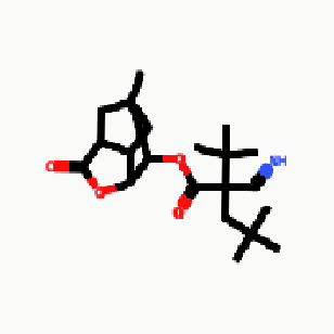 CC(C)(C)CC(C=N)(C(=O)OC1C2OC(=O)C3CC1(C)CC32)C(C)(C)C